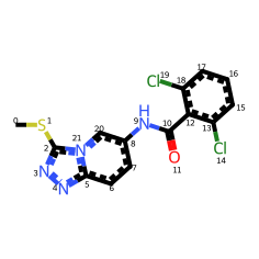 CSc1nnc2ccc(NC(=O)c3c(Cl)cccc3Cl)cn12